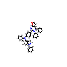 c1ccc(-c2ccccc2-c2nc(-c3ccc(-n4c5ccccc5c5ccc6c(ccn6-c6ccccc6)c54)cc3)nc3occc23)cc1